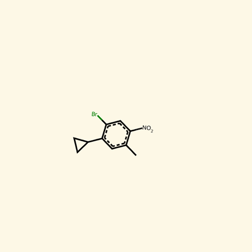 Cc1cc(C2CC2)c(Br)cc1[N+](=O)[O-]